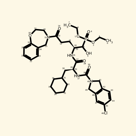 CCOP(=O)(OCC)C(O)[C@H](CCC(=O)N1CCOc2ccccc2C1)NC(=O)[C@H](CC1CCCCC1)NC(=O)N1Cc2ccc(Cl)cc2C1